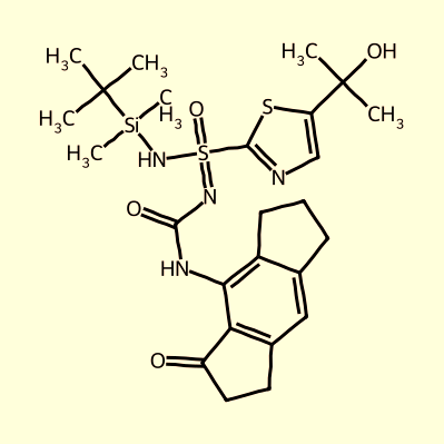 CC(C)(O)c1cnc(S(=O)(=NC(=O)Nc2c3c(cc4c2C(=O)CC4)CCC3)N[Si](C)(C)C(C)(C)C)s1